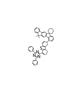 CC1(C)c2ccccc2-c2cc3c(cc21)-c1c(C2C=Cc4sc5c(c4C2)CCC=C5c2nc(-c4ccccc4)nc(-c4ccccc4)n2)cccc1C31CCCCC1